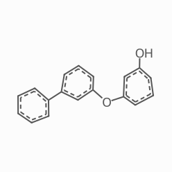 Oc1cccc(Oc2cccc(-c3ccccc3)c2)c1